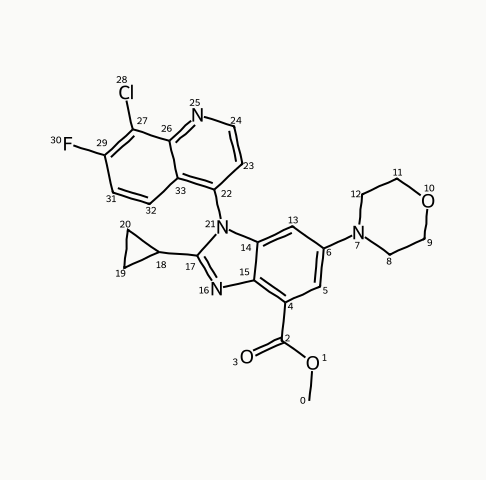 COC(=O)c1cc(N2CCOCC2)cc2c1nc(C1CC1)n2-c1ccnc2c(Cl)c(F)ccc12